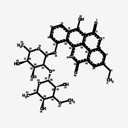 CCc1cc2oc(=O)c3c(O)c4cccc(O[C@@H]5OC(C)[C@H](O)[C@H](O)C5O[C@H]5OC(C)[C@H](O)C(OC)[C@H]5O)c4c4oc(=O)c(c1)c2c34